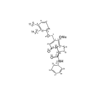 COc1c(COc2cccc(C)c2C)cc(=O)n2c1SC[C@H]2C(=O)Nc1ccccc1